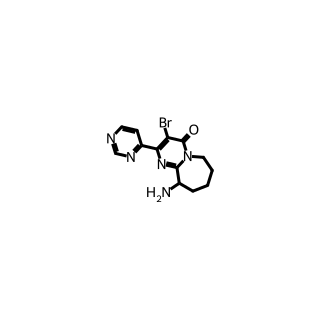 NC1CCCCn2c1nc(-c1ccncn1)c(Br)c2=O